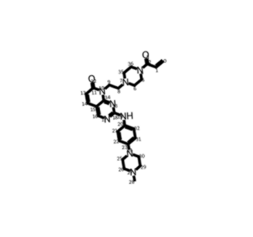 C=CC(=O)N1CCN(CCn2c(=O)ccc3cnc(Nc4ccc(N5CCN(C)CC5)cc4)nc32)CC1